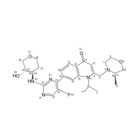 CC(C)n1c(CN2CCOC[C@H]2C)cc(=O)c2ccc(-c3nc(N[C@@H]4CCOC[C@H]4O)ncc3F)cc21